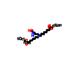 CCCCCCCCCOC(=O)CCCCCCCN(CCCCCCCC(=O)OC(CCCCCCCC)CCCCCCCC)CCCNO